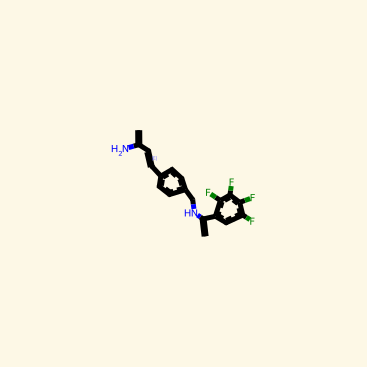 C=C(N)/C=C/c1ccc(CNC(=C)c2cc(F)c(F)c(F)c2F)cc1